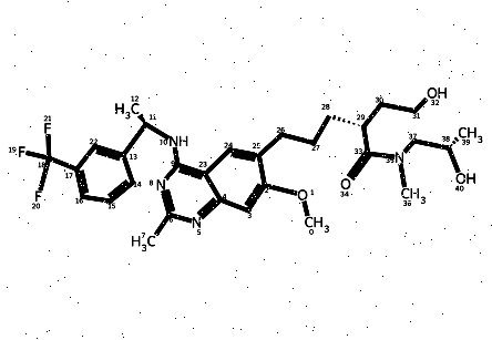 COc1cc2nc(C)nc(N[C@H](C)c3cccc(C(F)(F)F)c3)c2cc1CCC[C@H](CCO)C(=O)N(C)C[C@H](C)O